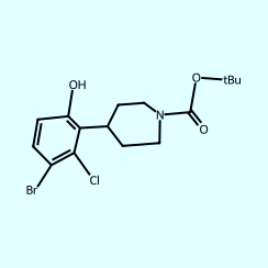 CC(C)(C)OC(=O)N1CCC(c2c(O)ccc(Br)c2Cl)CC1